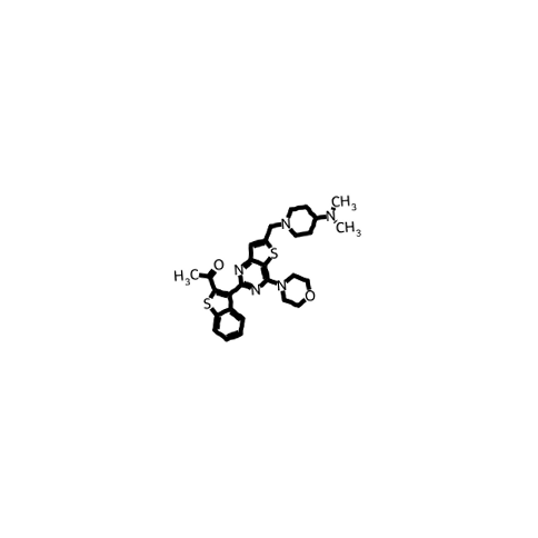 CC(=O)c1sc2ccccc2c1-c1nc(N2CCOCC2)c2sc(CN3CCC(N(C)C)CC3)cc2n1